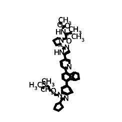 COC(=O)N[C@H](C(=O)N1CCC[C@H]1c1ncc(-c2ccc(-c3ccc(-c4ccc5nc(C6CCCC6)n(COCC[Si](C)(C)C)c5c4)c4c3C3CCC4C3)nc2)[nH]1)C(C)C